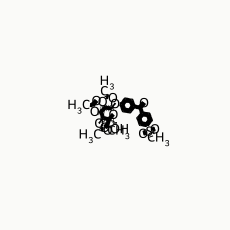 CC(=O)O[C@@H]1[C@@H](OC(C)=O)[C@@H](Oc2ccc(C(=O)c3ccc(S(C)(=O)=O)cc3)cc2)O[C@@](CO)(C(C)=O)[C@H]1OC(C)=O